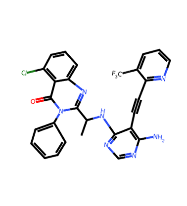 CC(Nc1ncnc(N)c1C#Cc1ncccc1C(F)(F)F)c1nc2cccc(Cl)c2c(=O)n1-c1ccccc1